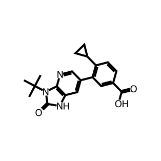 CC(C)(C)n1c(=O)[nH]c2cc(-c3cc(C(=O)O)ccc3C3CC3)cnc21